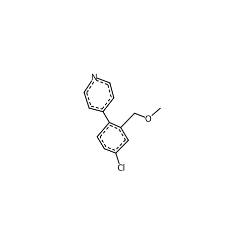 COCc1cc(Cl)ccc1-c1ccncc1